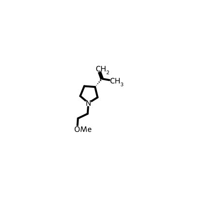 C=C(C)[C@H]1CCN(CCOC)C1